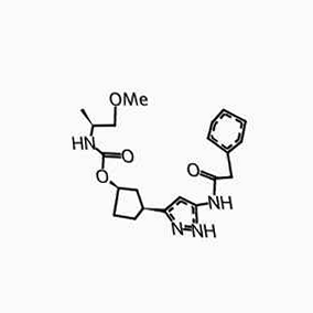 COC[C@H](C)NC(=O)O[C@@H]1CC[C@H](c2cc(NC(=O)Cc3ccccc3)[nH]n2)C1